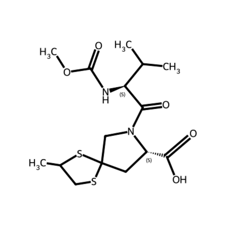 COC(=O)N[C@H](C(=O)N1CC2(C[C@H]1C(=O)O)SCC(C)S2)C(C)C